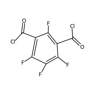 O=C(Cl)c1c(F)c(F)c(F)c(C(=O)Cl)c1F